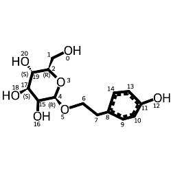 OC[C@H]1O[C@@H](OCCc2ccc(O)cc2)C(O)[C@@H](O)[C@@H]1O